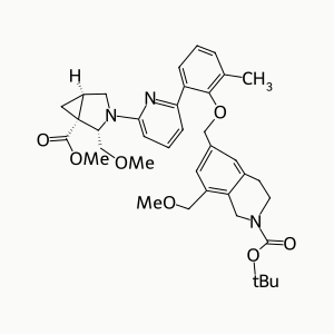 COCc1cc(COc2c(C)cccc2-c2cccc(N3C[C@@H]4C[C@]4(C(=O)OC)[C@H]3COC)n2)cc2c1CN(C(=O)OC(C)(C)C)CC2